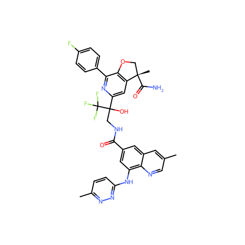 Cc1cnc2c(Nc3ccc(C)nn3)cc(C(=O)NCC(O)(c3cc4c(c(-c5ccc(F)cc5)n3)OC[C@]4(C)C(N)=O)C(F)(F)F)cc2c1